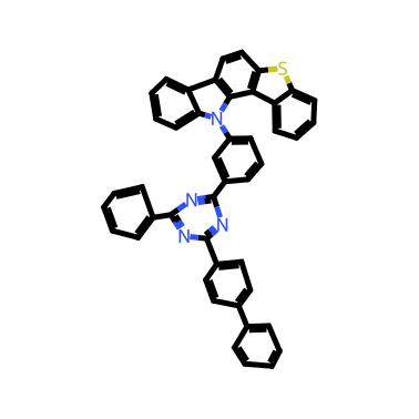 c1ccc(-c2ccc(-c3nc(-c4ccccc4)nc(-c4cccc(-n5c6ccccc6c6ccc7sc8ccccc8c7c65)c4)n3)cc2)cc1